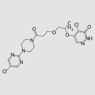 CC(COCCC(=O)N1CCN(c2ncc(Cl)cn2)CC1)Oc1cn[nH]c(=O)c1Cl